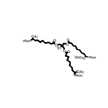 CCCCCCCCCC(CCCCCCCC(=O)OCC(CC)(COC(=O)CCCCCCCC(CCCCCCCCC)OC(C)=O)COC(=O)CCCCCCCC(CCCCCCCCC)OC(C)=O)OC=O